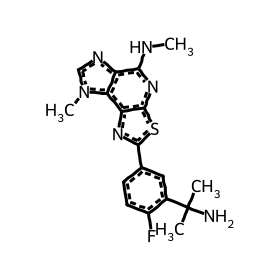 CNc1nc2sc(-c3ccc(F)c(C(C)(C)N)c3)nc2c2c1ncn2C